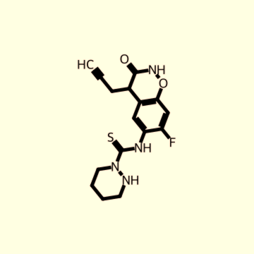 C#CCC1C(=O)NOc2cc(F)c(NC(=S)N3CCCCN3)cc21